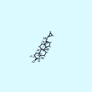 C[C@]12C[C@@H](I)C(=O)N[C@@H]1CC[C@@H]1[C@@H]2CC[C@]2(C)[C@@H](NC3CC3)CC[C@@H]12